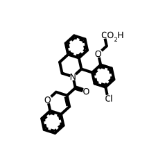 O=C(O)COc1ccc(Cl)cc1C1c2ccccc2CCN1C(=O)C1=Cc2ccccc2OC1